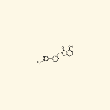 Cn1cc(-c2cccc(CN3Cc4cccc(O)c4C3=O)c2)cn1